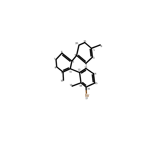 CC1=CC=C(C2=CCCC(C)=C2c2cccc(Br)c2C)CC1